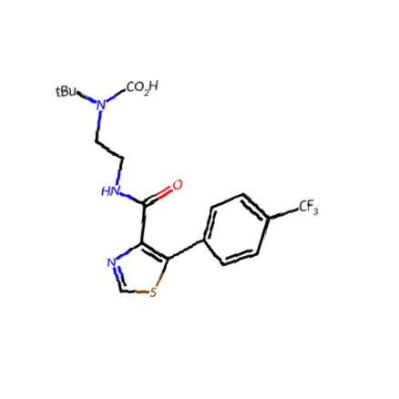 CC(C)(C)N(CCNC(=O)c1ncsc1-c1ccc(C(F)(F)F)cc1)C(=O)O